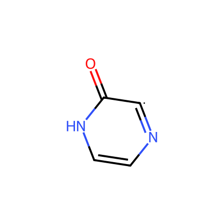 O=c1[c]ncc[nH]1